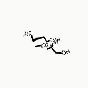 CC(O)CO.CCOC(C)=O.COCCCOC(C)=O